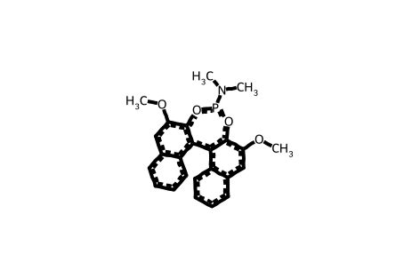 COc1cc2ccccc2c2c1op(N(C)C)oc1c(OC)cc3ccccc3c12